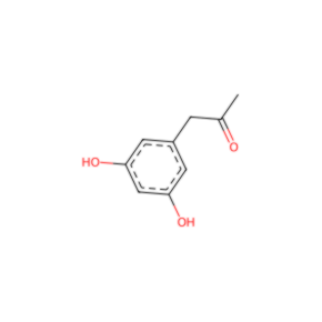 CC(=O)Cc1cc(O)cc(O)c1